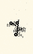 CCCC(CCC)SCC(NC(=O)c1ccccc1C)C(=O)N[C@H](CCNCc1cccc(CC)c1)Cc1cc(F)cc(F)c1